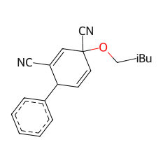 CCC(C)COC1(C#N)C=CC(c2ccccc2)C(C#N)=C1